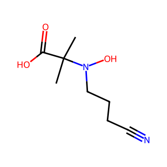 CC(C)(C(=O)O)N(O)CCCC#N